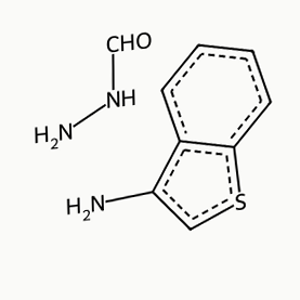 NNC=O.Nc1csc2ccccc12